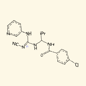 CC(C)C(NC(=O)c1ccc(Cl)cc1)N/C(=N/C#N)Nc1cccnc1